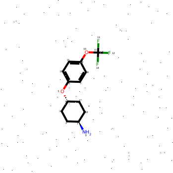 N[C@H]1CC[C@H](Oc2ccc(OC(F)(F)F)cc2)CC1